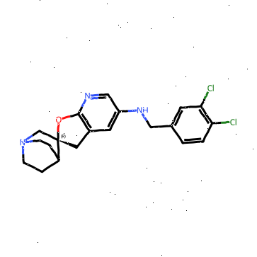 Clc1ccc(CNc2cnc3c(c2)C[C@@]2(CN4CCC2CC4)O3)cc1Cl